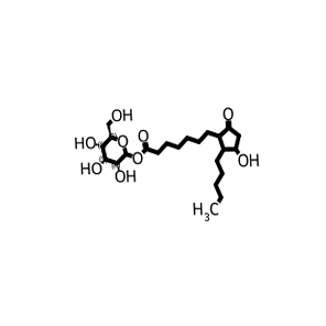 CCCCCC1C(O)CC(=O)C1CCCCCCC(=O)OC1O[C@H](CO)[C@@H](O)[C@H](O)[C@H]1O